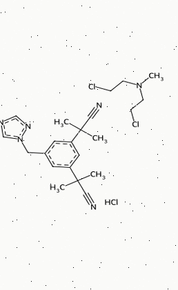 CC(C)(C#N)c1cc(Cn2cncn2)cc(C(C)(C)C#N)c1.CN(CCCl)CCCl.Cl